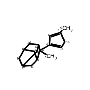 CC1=CC(C2(C)C3CC4CC(C3)CC2C4)=C[CH]1